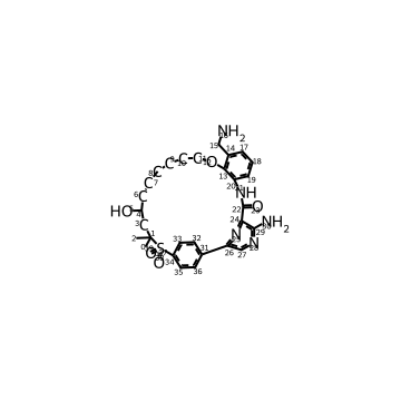 CC1(C)CC(O)CCCCCCOc2c(CN)cccc2NC(=O)c2nc(cnc2N)-c2ccc(cc2)S1(=O)=O